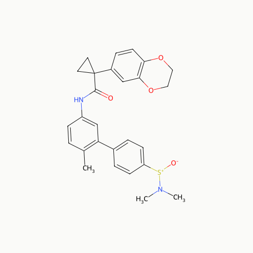 Cc1ccc(NC(=O)C2(c3ccc4c(c3)OCCO4)CC2)cc1-c1ccc([S+]([O-])N(C)C)cc1